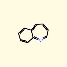 C1=CC=c2ccccc2=[N+]=C1